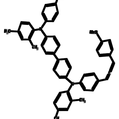 COc1ccc(C=C=Cc2ccc(N(c3ccc(-c4ccc(N(c5ccc(C)cc5)c5ccc(C)cc5C)cc4)cc3)c3ccc(C)cc3C)cc2)cc1